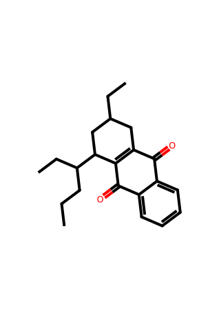 CCCC(CC)C1CC(CC)CC2=C1C(=O)c1ccccc1C2=O